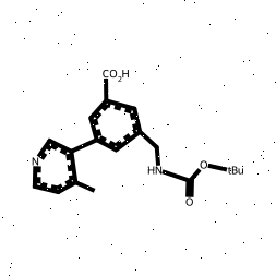 Cc1ccncc1-c1cc(CNC(=O)OC(C)(C)C)cc(C(=O)O)c1